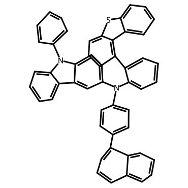 c1ccc(-n2c3ccccc3c3cc(N(c4ccc(-c5cccc6ccccc56)cc4)c4ccccc4-c4cccc5sc6ccccc6c45)ccc32)cc1